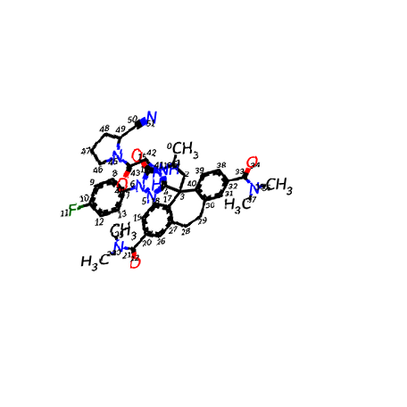 C[C@@H](CC1(c2nn(-c3ccc(F)cc3)c(=O)[nH]2)c2ccc(C(=O)N(C)C)cc2CCc2cc(C(=O)N(C)C)ccc21)NCC(=O)N1CCCC1C#N